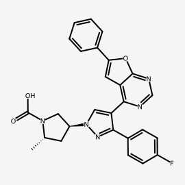 C[C@H]1C[C@H](n2cc(-c3ncnc4oc(-c5ccccc5)cc34)c(-c3ccc(F)cc3)n2)CN1C(=O)O